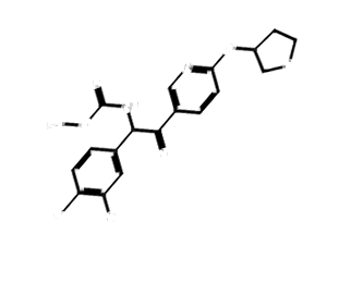 CC(C)(C)OC(=O)NC(C(=O)c1ccc(OC2CCOC2)nc1)c1ccc(Cl)c(Cl)c1